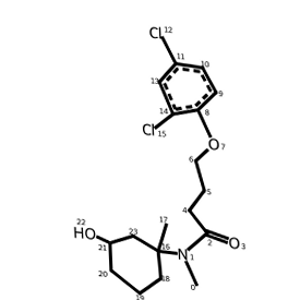 CN(C(=O)CCCOc1ccc(Cl)cc1Cl)C1(C)CCCC(O)C1